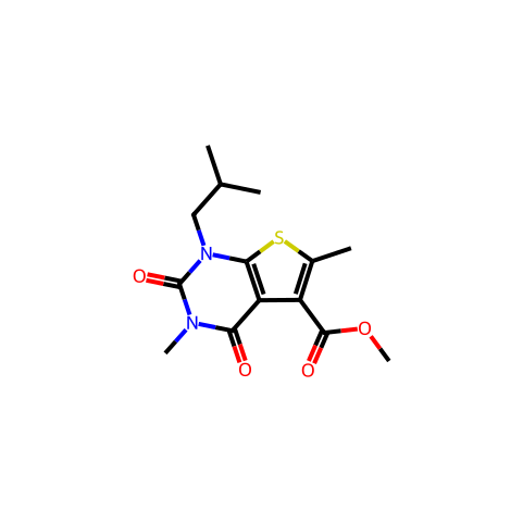 COC(=O)c1c(C)sc2c1c(=O)n(C)c(=O)n2CC(C)C